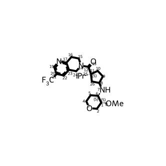 CO[C@@H]1COCC[C@@H]1NC1CC[C@@](C(=O)N2CCc3ncc(C(F)(F)F)cc3C2)(C(C)C)C1